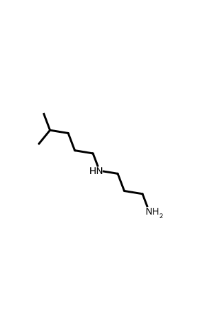 CC(C)CCCNCCCN